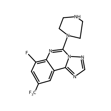 Fc1cc(C(F)(F)F)cc2c1nc(N1CCNCC1)n1ncnc21